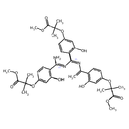 C=C(/N=C(\N=C(/N)c1ccc(OC(C)(C)C(=O)OC)cc1O)c1ccc(OC(C)(C)C(=O)OC)cc1O)c1ccc(OC(C)(C)C(=O)OC)cc1O